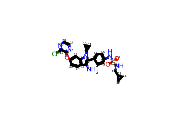 Nc1c(-c2ccc(NS(=O)(=O)NCC3CC3)cc2)n(C2CC2)c2cc(Oc3nccnc3Cl)ccc12